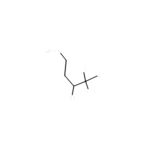 CCCCCCCC(CC)C(O)(O)CC